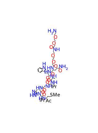 CSCC[C@H](NC(=O)[C@H](CC(C)C)NC(=O)[C@H](Cc1c[nH]cn1)NC(=O)CNC(=O)[C@@H](NC(=O)[C@H](C)NC(=O)[C@H](Cc1c[nH]c2ccccc12)NC(=O)[C@H](CCC(N)=O)NC(=O)COCCOCCNC(=O)COCCOCCN)C(C)C)C(C)=O